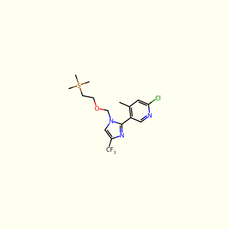 Cc1cc(Cl)ncc1-c1nc(C(F)(F)F)cn1COCCS(C)(C)C